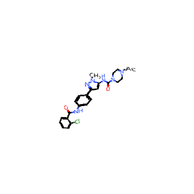 CC(=O)N1CCN(C(=O)Nc2cc(-c3ccc(NC(=O)c4ccccc4Cl)cc3)nn2C)CC1